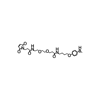 CBc1ccc(OCCCCNC(=O)CCOCCOCCNC(=O)CCN2C(=O)C=CC2=O)cc1